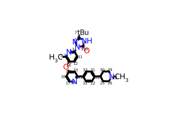 Cc1nc(-n2nc(C(C)(C)C)[nH]c2=O)ccc1Oc1ccnc(-c2ccc(C3CCN(C)CC3)cc2)c1